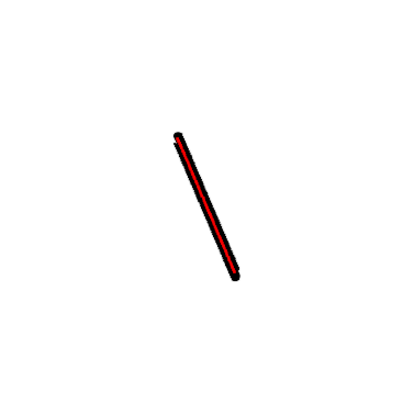 S=S=S=S=S=S=S=S=S=S=S=S=S=S=S=S=S=S=S=S=S=S=S=S=S=S=S=S=S=S=S=S=S=S=S=S=S=S=S=S=S=S=S=S=S=S=S=S=S=S=S=S=S=S=S=S=S=S=S=S=S=S=S=S=S=S=S=S=S=S=S=S=S=S=S=S=S=S=S=S=S=S=S=S=S=S=S=S=S=S=S=S=S=S=S=S=S=S=S=S=S=S=S=S=S=S=S=S=S=S=S=S=S=S=S